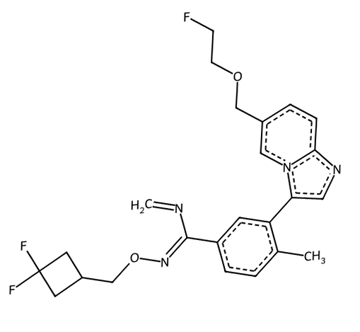 C=N/C(=N\OCC1CC(F)(F)C1)c1ccc(C)c(-c2cnc3ccc(COCCF)cn23)c1